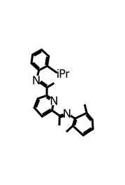 CC(=Nc1ccccc1C(C)C)c1cccc(C(C)=Nc2c(C)cccc2C)n1